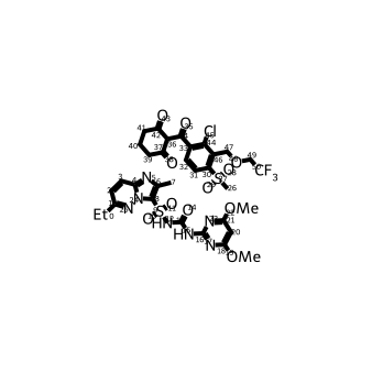 CCc1ccc2nc(C)c(S(=O)(=O)NC(=O)Nc3nc(OC)cc(OC)n3)n2n1.CS(=O)(=O)c1ccc(C(=O)C2C(=O)CCCC2=O)c(Cl)c1COCC(F)(F)F